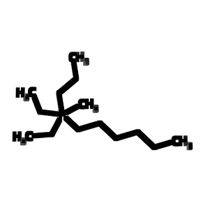 CCCCCCP(C)(CC)(CC)CCC